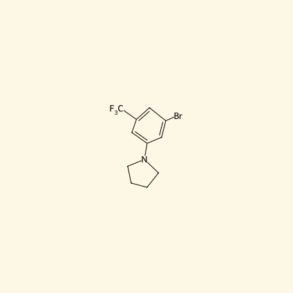 FC(F)(F)c1cc(Br)cc(N2CCCC2)c1